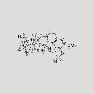 [2H]C([2H])([2H])Oc1cc2c(cc1OC)CCN1CC([2H])(C([2H])([2H])C([2H])(C([2H])([2H])[2H])C([2H])([2H])C)C(=O)C([2H])([2H])C21